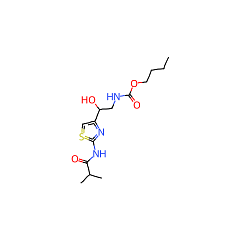 CCCCOC(=O)NCC(O)c1csc(NC(=O)C(C)C)n1